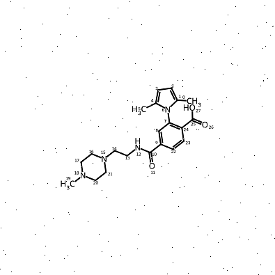 Cc1ccc(C)n1-c1cc(C(=O)NCCN2CCN(C)CC2)ccc1C(=O)O